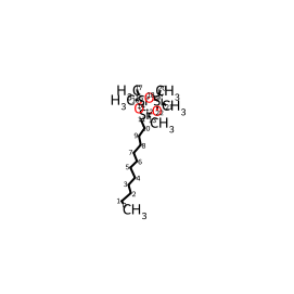 CCCCCCCCCCCC[Si]1(C)O[Si](C)(C)O[Si](C)(C)O1